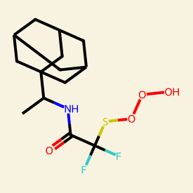 CC(NC(=O)C(F)(F)SOOO)C12CC3CC(CC(C3)C1)C2